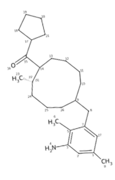 Cc1cc(N)c(C)c(CC2CCCCC(C(=O)C3CCCC3)[C@@H](C)CCC2)c1